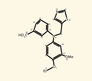 CCOc1ccc(N(Cc2cncs2)c2cccc(C(=O)O)c2)cc1OC